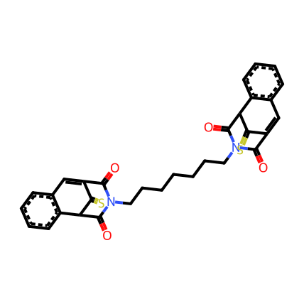 O=C1C2=Cc3ccccc3C(C(=O)N1CCCCCCCN1C(=O)C3=Cc4ccccc4C(C1=O)C3=S)C2=S